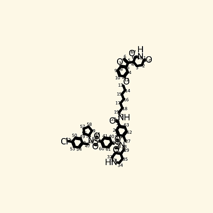 O=C1CCC(c2coc3ccc(OCCCCCCCNC(=O)c4ccc(CN(CC5CCNCC5)S(=O)(=O)c5ccc(S(=O)(=O)N(Cc6ccc(Cl)cc6)C6CCCC6)cc5)cc4)cc23)C(=O)N1